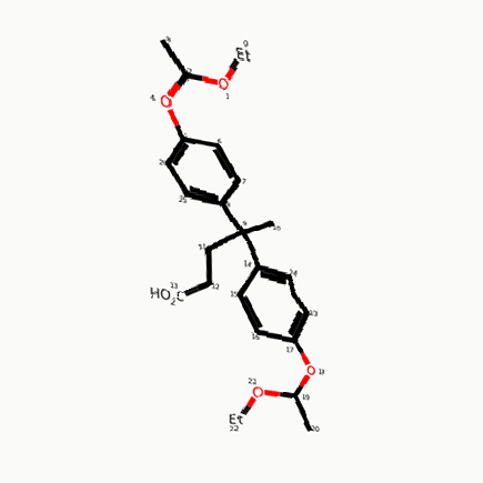 CCOC(C)Oc1ccc(C(C)(CCC(=O)O)c2ccc(OC(C)OCC)cc2)cc1